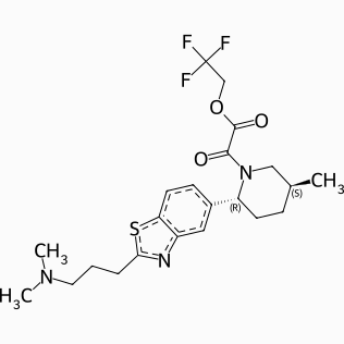 C[C@H]1CC[C@H](c2ccc3sc(CCCN(C)C)nc3c2)N(C(=O)C(=O)OCC(F)(F)F)C1